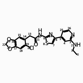 CCNc1cc(-c2csc(NC(=O)Cc3cc4c(cc3Cl)OCO4)n2)ccn1